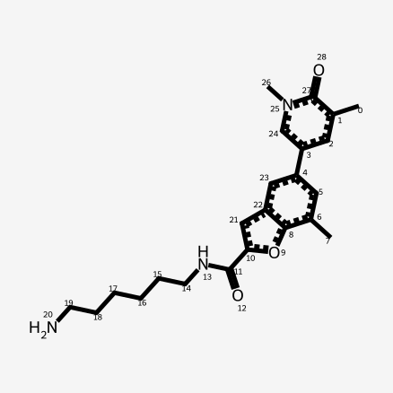 Cc1cc(-c2cc(C)c3oc(C(=O)NCCCCCCN)cc3c2)cn(C)c1=O